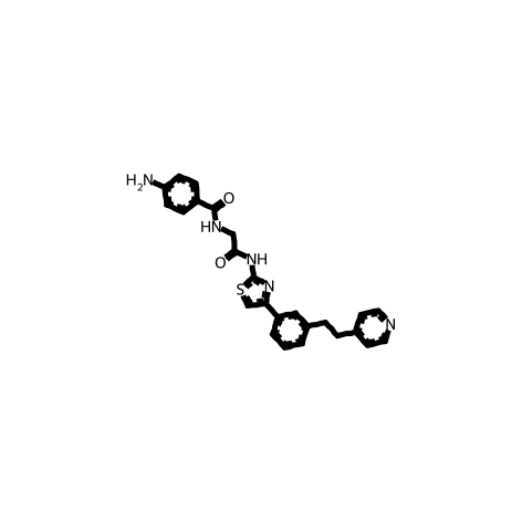 Nc1ccc(C(=O)NCC(=O)Nc2nc(-c3cccc(CCc4ccncc4)c3)cs2)cc1